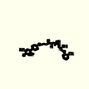 Cc1[nH]c(=O)c(C#N)cc1-c1ccc(OCCCC(=O)NCC(C)(C)NC[C@H](O)COc2ccccc2C#N)cc1